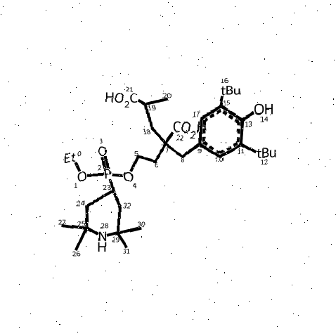 CCOP(=O)(OCCC(Cc1cc(C(C)(C)C)c(O)c(C(C)(C)C)c1)(CC(C)C(=O)O)C(=O)O)C1CC(C)(C)NC(C)(C)C1